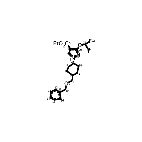 CCOC(=O)c1cn([C@H]2CC[C@H](COCc3ccccc3)CC2)nc1OC(F)F